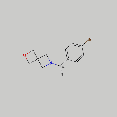 C[C@@H](c1ccc(Br)cc1)N1CC2(COC2)C1